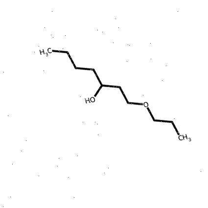 CCCCC(O)CCOCCC